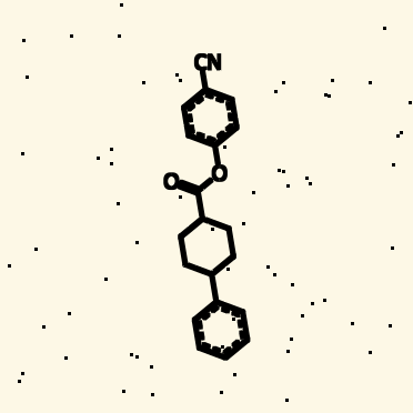 N#Cc1ccc(OC(=O)C2CCC(c3ccccc3)CC2)cc1